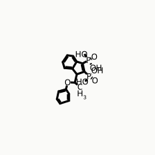 CC(Oc1ccccc1)C1C(P(=O)(O)O)=C(P(=O)(O)O)c2ccccc21